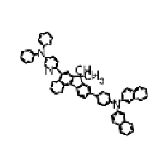 CC1(C)c2cc(-c3ccc(N(c4ccc5ccccc5c4)c4ccc5ccccc5c4)cc3)ccc2-c2c1cc(-c1ccc(N(c3ccccc3)c3ccccc3)cn1)c1ccccc21